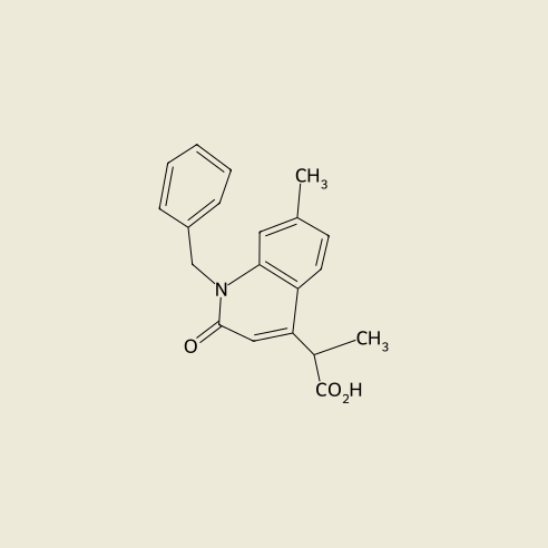 Cc1ccc2c(C(C)C(=O)O)cc(=O)n(Cc3ccccc3)c2c1